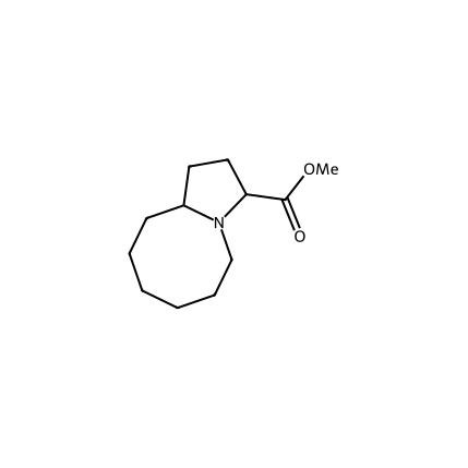 COC(=O)C1CCC2CCCCCCN21